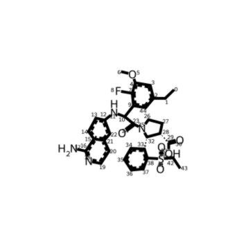 CCc1cc(OC)c(F)c(C(Nc2ccc3c(N)nccc3c2)C(=O)N2CC[C@H](C(=O)O)[C@@H]2c2ccccc2S(=O)(=O)CC)c1